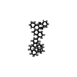 c1ccc(-c2nc3ccccc3nc2-c2cccc3c(-c4ccc5c(c4)C4(c6c-5ccc5ccccc65)C5CC6CC(C5)CC4C6)cccc23)cc1